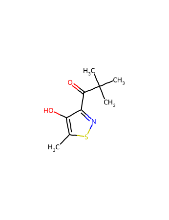 Cc1snc(C(=O)C(C)(C)C)c1O